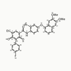 CCn1cc(C(=O)Nc2ccc(Oc3ccnc4cc(OC)c(OC)cc34)cc2C(C)C)c(=O)n(-c2ccc(F)cc2)c1=O